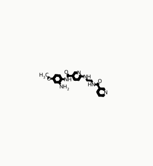 COc1ccc(NC(=O)c2ccc(NCCNC(=O)c3cccnc3)nc2)c(N)c1